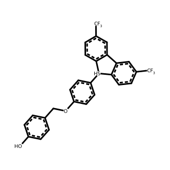 Oc1ccc(COc2ccc([SH]3c4ccc(C(F)(F)F)cc4-c4cc(C(F)(F)F)ccc43)cc2)cc1